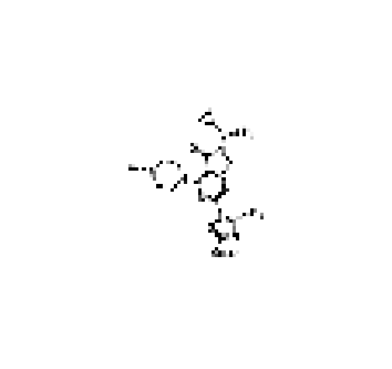 CC(=O)Nc1nc(C)c(-c2cc3c(c(N4CCN(C(C)=O)CC4)n2)C(=O)N(C(C)C2CC2)C3)s1